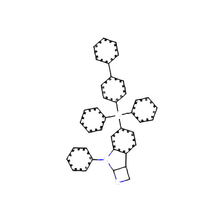 c1ccc(-c2ccc([Si](c3ccccc3)(c3ccccc3)c3ccc4c(c3)N(c3ccccc3)C3NCC43)cc2)cc1